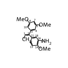 CC=C(c1cc(OC)cc(OC)c1)c1ccc(OC)c(N)c1